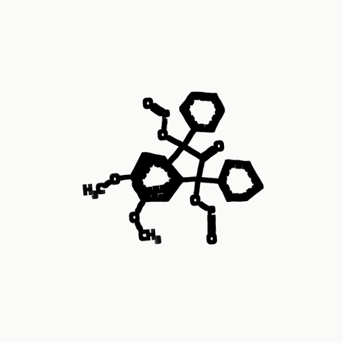 COc1ccc(C(OP=O)(C(=O)C(OP=O)(c2ccccc2)c2ccc(OC)cc2)c2ccccc2)cc1